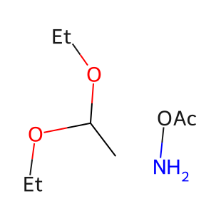 CC(=O)ON.CCOC(C)OCC